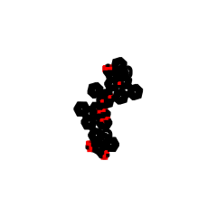 c1ccc(-c2cc(-c3ccc(-c4ccccc4-c4ccc5c(c4)Oc4ccccc4C54c5ccccc5-c5cc(-c6ccc(-c7cc(-c8ccccc8-c8ccc(-c9ccc%10c(c9)Oc9ccccc9C%109c%10ccccc%10-c%10ccccc%109)cc8)nc(-c8ccccc8)n7)cc6)ccc54)cc3)nc(-c3ccccc3)n2)cc1